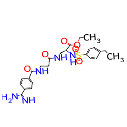 CCOC(=O)[C@H](CNC(=O)CCNC(=O)c1ccc(C(=N)N)cc1)NS(=O)(=O)c1ccc(CC)cc1